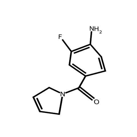 Nc1ccc(C(=O)N2CC=CC2)cc1F